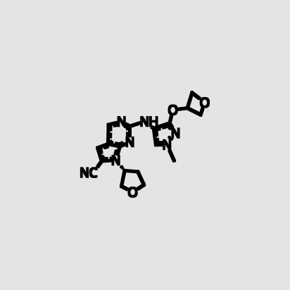 Cn1cc(Nc2ncc3cc(C#N)n([C@@H]4CCOC4)c3n2)c(OC2COC2)n1